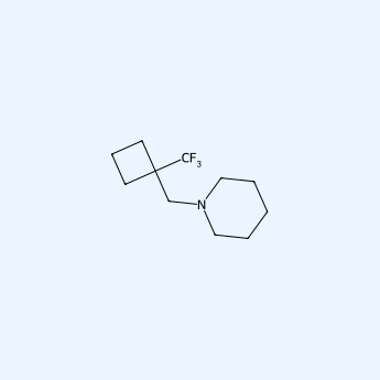 FC(F)(F)C1(CN2CCCCC2)CCC1